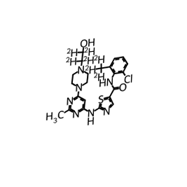 [2H]C([2H])([2H])c1cccc(Cl)c1NC(=O)c1cnc(Nc2cc(N3CCN(C([2H])([2H])C([2H])([2H])O)CC3)nc(C)n2)s1